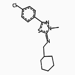 Cn1nc(-c2ccc(Cl)cc2)sc1=NCC1CCCCC1